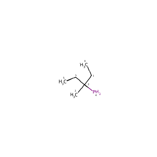 CCC(C)(P)CC